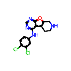 Clc1ccc(Nc2ncnc3oc4c(c23)CCNC4)cc1Cl